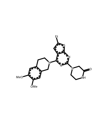 CCc1cc2c(N3CCc4cc(OC)c(OC)cc4C3)nc(N3CCNC(=O)C3)nc2s1